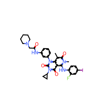 Cc1c(=O)n(C)c(Nc2ccc(I)cc2F)c2c(=O)n(C3CC3)c(=O)n(-c3cccc(NC(=O)CN4CCCCC4)c3)c12